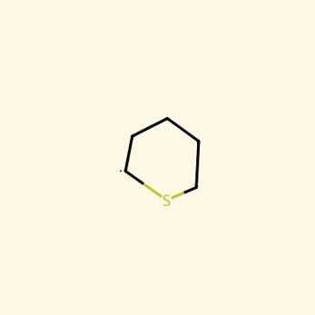 [CH]1CCCCS1